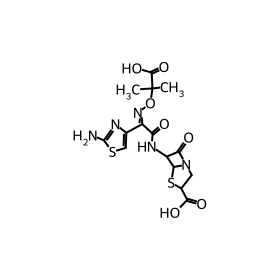 CC(C)(O/N=C(\C(=O)NC1C(=O)N2CC(C(=O)O)SC12)c1csc(N)n1)C(=O)O